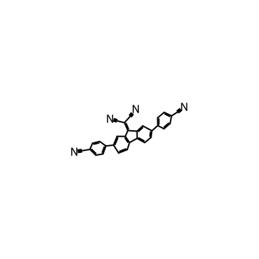 N#CC(C#N)=C1c2cc(-c3ccc(C#N)cc3)ccc2-c2ccc(-c3ccc(C#N)cc3)cc21